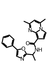 Cc1cc(C)n2ccc(C(=O)NC(C)c3ncc(-c4ccccc4)o3)c2n1